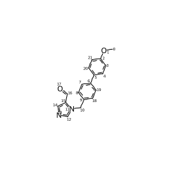 COc1ccc(-c2ccc(Cn3cncc3C=O)cc2)cc1